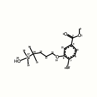 COC(=O)c1ccc(Br)c(OCCCC(C)(C)[Si](C)(C)O)c1